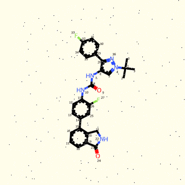 CC(C)(C)n1cc(NC(=O)Nc2ccc(-c3cccc4c3CNC4=O)cc2F)c(-c2ccc(F)cc2)n1